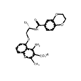 CC[C@@H](COc1cccc2nc(C)c(C(=O)O)c(N)c12)NC(=O)c1ccc2c(c1)OCCO2